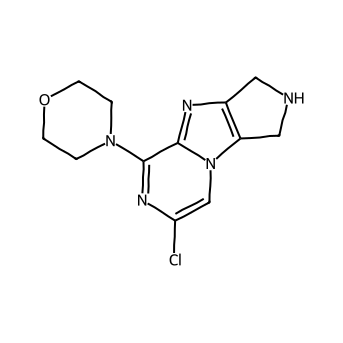 Clc1cn2c3c(nc2c(N2CCOCC2)n1)CNC3